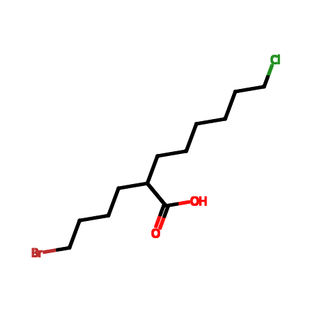 O=C(O)C(CCCCBr)CCCCCCCl